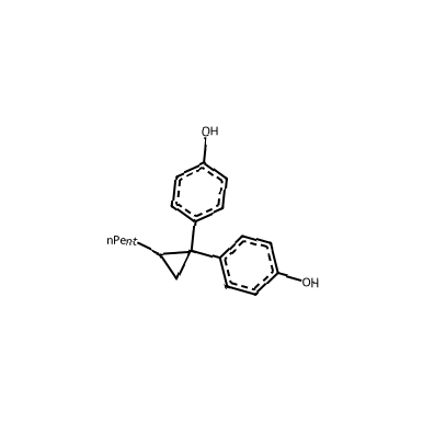 CCCCCC1CC1(c1ccc(O)cc1)c1ccc(O)cc1